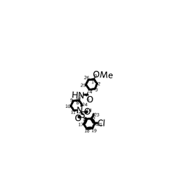 CO[C@H]1CC[C@H](C(=O)N[C@H]2CCCN(S(=O)(=O)c3cccc(Cl)c3C)C2)CC1